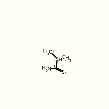 C[SH](C)C(N)=S